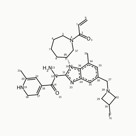 C=CC(=O)N1CCCC[C@@H](n2c(N(N)C(=O)C3=CCNC(C)=C3)nc3cc(CN4CC(F)C4)cc(C)c32)C1